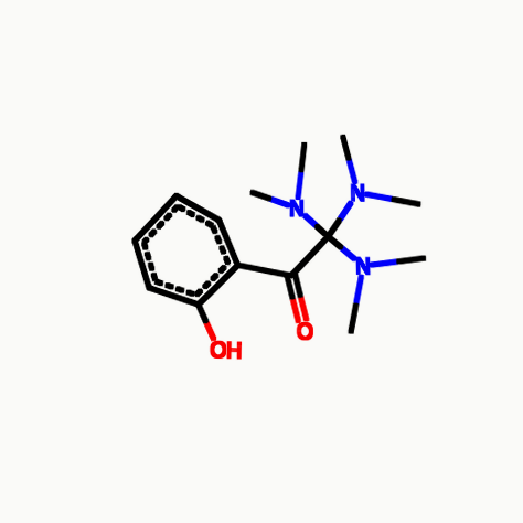 CN(C)C(C(=O)c1ccccc1O)(N(C)C)N(C)C